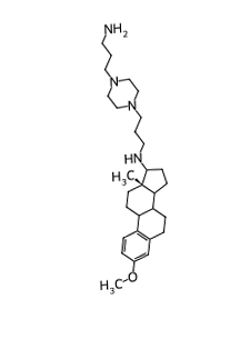 COc1ccc2c(c1)CCC1C2CC[C@]2(C)C(NCCCN3CCN(CCCN)CC3)CCC12